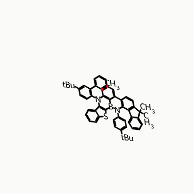 Cc1cc2c3c(c1)N(c1ccc(C(C)(C)C)cc1-c1ccccc1)c1c(sc4ccccc14)B3N(c1ccc(C(C)(C)C)cc1)c1c-2ccc2c1-c1ccccc1C2(C)C